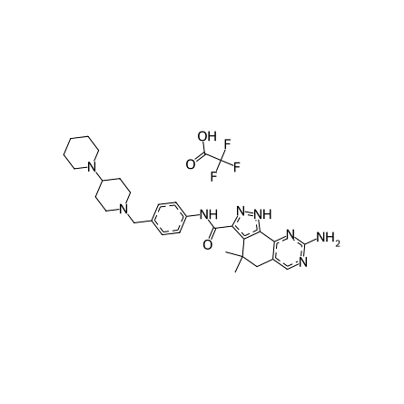 CC1(C)Cc2cnc(N)nc2-c2[nH]nc(C(=O)Nc3ccc(CN4CCC(N5CCCCC5)CC4)cc3)c21.O=C(O)C(F)(F)F